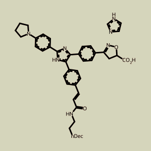 CCCCCCCCCCCCNC(=O)C=Cc1ccc(-c2[nH]c(-c3ccc(N4CCCC4)cc3)nc2-c2ccc(C3=NOC(C(=O)O)C3)cc2)cc1.c1c[nH]cn1